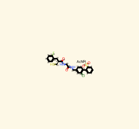 CC(=O)NS(=O)(=O)c1ccccc1-c1ccc(CNC(=O)CNC(=O)[C@@H](CS)Cc2ccccc2F)cc1Cl